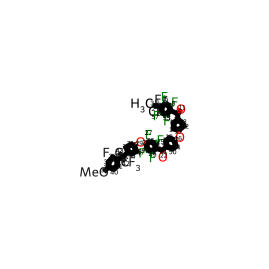 CCC(C)(C)c1c(F)c(F)c(C(=O)c2ccc(Oc3ccc(C(=O)c4c(F)c(F)c(Oc5ccc(C(c6ccc(OC)cc6)(C(F)(F)F)C(F)(F)F)cc5)c(F)c4F)cc3)cc2)c(F)c1F